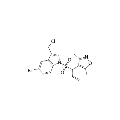 C=CC(c1c(C)noc1C)S(=O)(=O)n1cc(CCl)c2cc(Br)ccc21